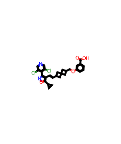 O=C(O)c1cccc(OCC2CC3(CC(/C=C/c4c(-c5c(Cl)cncc5Cl)noc4C4CC4)C3)C2)c1